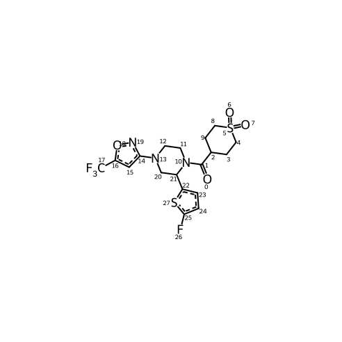 O=C(C1CCS(=O)(=O)CC1)N1CCN(c2cc(C(F)(F)F)on2)CC1c1ccc(F)s1